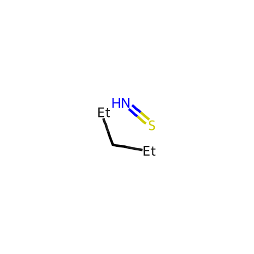 CCCCC.N=S